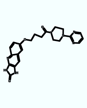 O=C(CCCOc1ccc2nc3[nH]c(=O)[nH]c3cc2c1)N1CCN(c2ncccn2)CC1